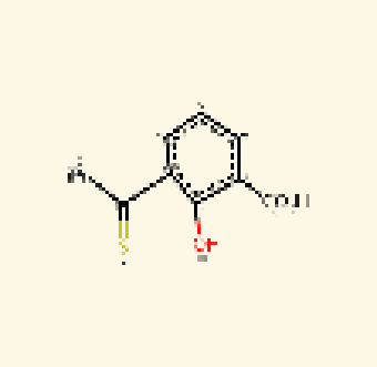 CC(C)C(=S)c1cccc(C(=O)O)c1O